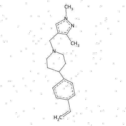 C=Cc1ccc(C2CCN(Cc3cn(C)nc3C)CC2)cc1